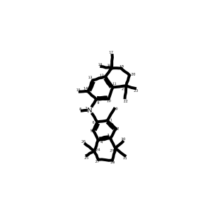 Cc1cc2c(cc1N(C)c1cc3c(cc1C)C(C)(C)CCC3(C)C)C(C)(C)CCC2(C)C